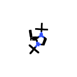 C=C[SiH]1N(C(C)(C)C)C=CN1C(C)(C)C